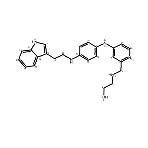 OCCNCc1cc(Nc2ccc(NCCc3c[nH]c4ccccc34)cc2)ccn1